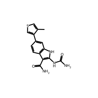 Cc1cscc1-c1ccc2c(C(N)=O)c(NC(N)=O)[nH]c2c1